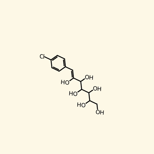 OCC(O)C(O)C(O)C(O)C(O)=Cc1ccc(Cl)cc1